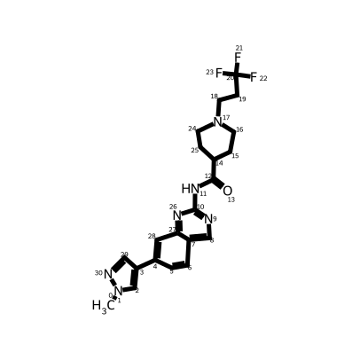 Cn1cc(-c2ccc3cnc(NC(=O)C4CCN(CCC(F)(F)F)CC4)nc3c2)cn1